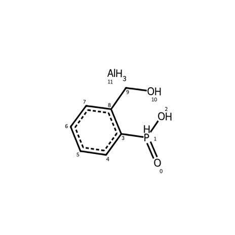 O=[PH](O)c1ccccc1CO.[AlH3]